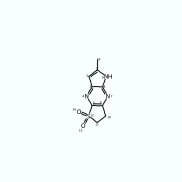 Cc1cc2nc3c(nc2[nH]1)CCS3(=O)=O